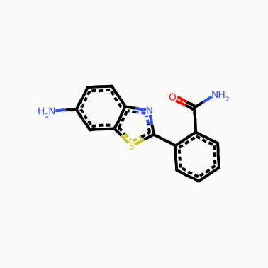 NC(=O)c1ccccc1-c1nc2ccc(N)cc2s1